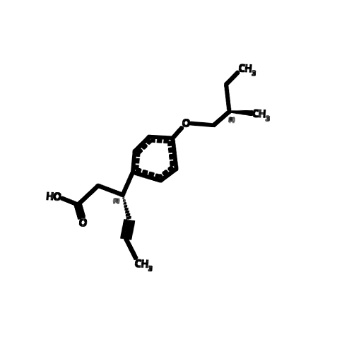 CC#C[C@H](CC(=O)O)c1ccc(OC[C@H](C)CC)cc1